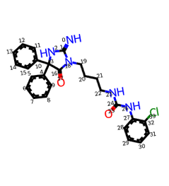 N=C1NC(c2ccccc2)(c2ccccc2)C(=O)N1CCCCNC(=O)Nc1ccccc1Cl